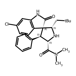 CN(C)C(=O)[C@H]1N[C@@H](CC(C)(C)C)[C@@]2(C(=O)Nc3cc(Cl)ccc32)[C@@H]1c1ccccc1